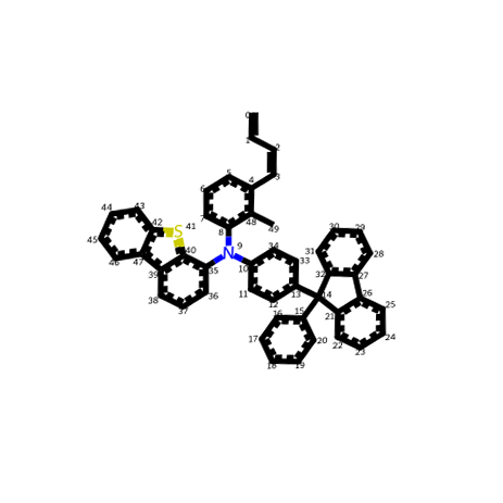 C=C/C=C\c1cccc(N(c2ccc(C3(c4ccccc4)c4ccccc4-c4ccccc43)cc2)c2cccc3c2sc2ccccc23)c1C